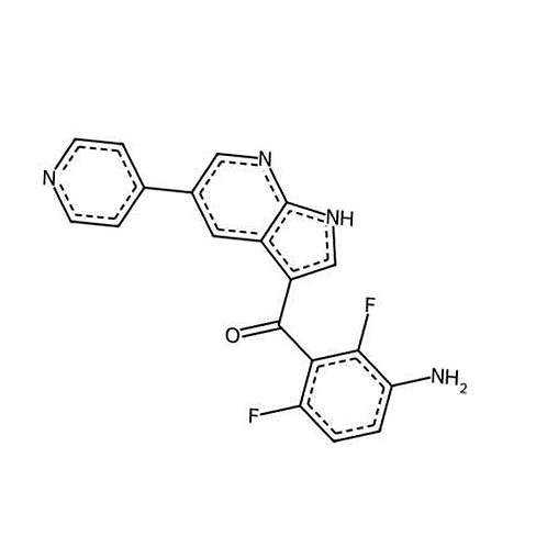 Nc1ccc(F)c(C(=O)c2c[nH]c3ncc(-c4ccncc4)cc23)c1F